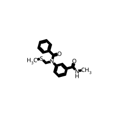 CNC(=O)c1cccc(N(CSC)C(=O)c2ccccc2)c1